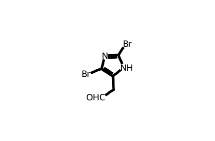 O=CCc1[nH]c(Br)nc1Br